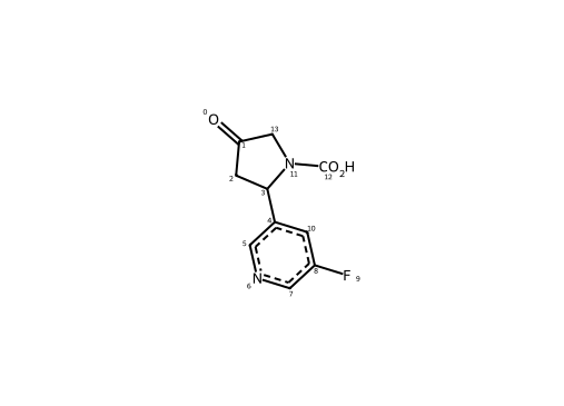 O=C1CC(c2cncc(F)c2)N(C(=O)O)C1